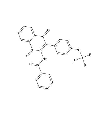 O=C(NC1=C(c2ccc(OC(F)(F)F)cc2)C(=O)c2ccccc2C1=O)c1ccccc1